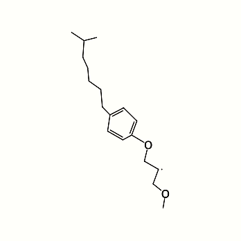 COC[CH]COc1ccc(CCCCCC(C)C)cc1